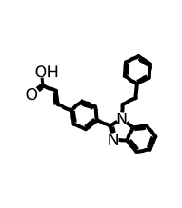 O=C(O)C=Cc1ccc(-c2nc3ccccc3n2CCc2ccccc2)cc1